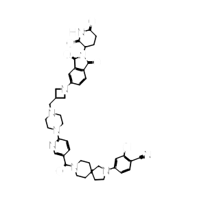 N#Cc1ccc(N2CCC3(CCN(C(=O)c4ccc(N5CCN(CC6CN(c7ccc8c(c7)C(=O)N(C7CCC(=O)NC7=O)C8=O)C6)CC5)nc4)CC3)C2)cc1Cl